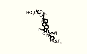 CC[C@H](CC[C@@]1(C)[C@H](C)CC[C@]2(C)[C@@H]1CCC1C3=C(C(C)C)C(=O)C[C@]3(Cc3nnc(-c4ccc(OC(F)(F)F)nc4)n3CCN(C)C)CC[C@]12C)OC(=O)CC(C)(C)C(=O)O